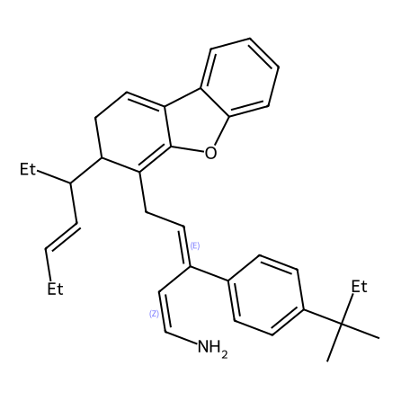 CCC=CC(CC)C1CC=c2c(oc3ccccc23)=C1C/C=C(\C=C/N)c1ccc(C(C)(C)CC)cc1